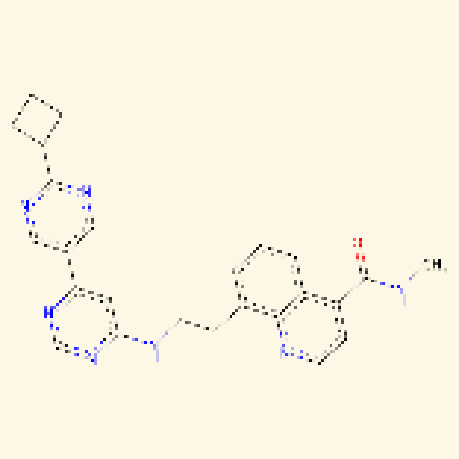 CNC(=O)c1ccnc2c(CCNc3cc(-c4cnc(C5CCC5)nc4)ncn3)cccc12